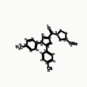 CN[C@@H]1CCN(C(=O)c2cc(-c3ccc(C#N)cc3)n(-c3ccc(C)cc3)n2)C1